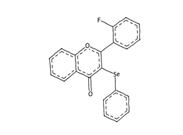 O=c1c([Se]c2ccccc2)c(-c2ccccc2F)oc2ccccc12